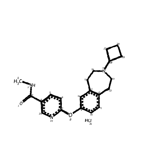 CNC(=O)c1ccc(Oc2ccc3c(c2)CCN(C2CCC2)CC3)nc1.Cl